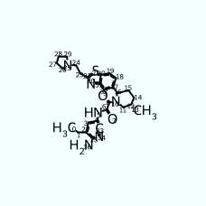 CCc1cc(NC(=O)C(=O)N2C[C@@H](C)CCC2c2ccc3sc(CCN4CCCC4)nc3c2)cnc1N